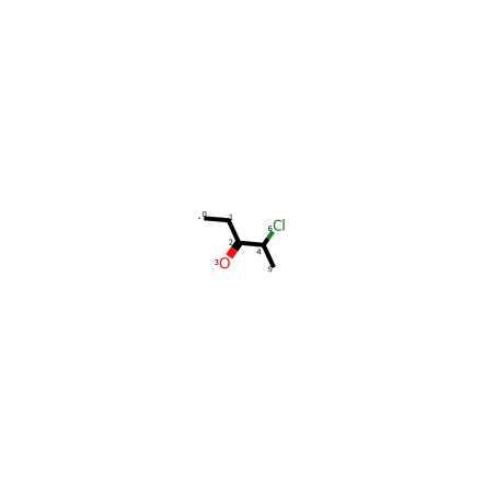 [CH2]CC(=O)C(C)Cl